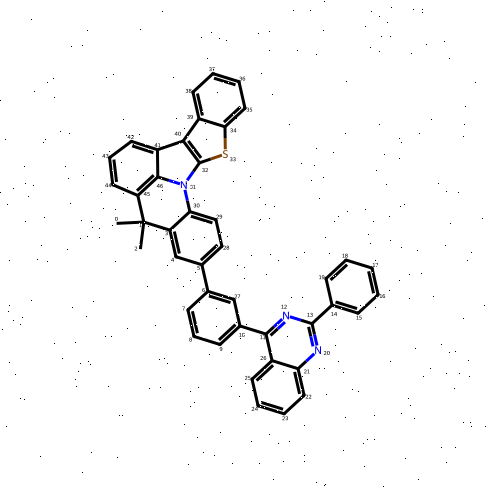 CC1(C)c2cc(-c3cccc(-c4nc(-c5ccccc5)nc5ccccc45)c3)ccc2-n2c3sc4ccccc4c3c3cccc1c32